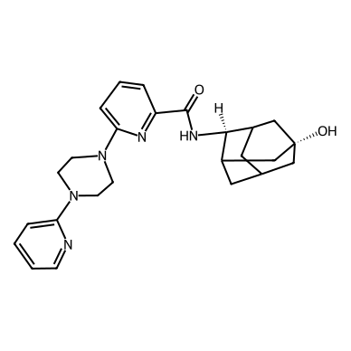 O=C(N[C@H]1C2CC3CC1C[C@](O)(C3)C2)c1cccc(N2CCN(c3ccccn3)CC2)n1